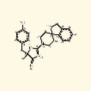 CC1(Cc2ccc(Cl)cc2)OC(N2CCC3(CC2)OCc2ccccc23)=NC1=O